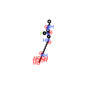 O=C(CCCCCCCCCCC(=O)NC[C@@H](O)[C@H](O)[C@@H](O)[C@@H](O)CO)NCc1ccc(N2C(=O)C3(CCN(C(=O)NCCC4CCCCC4)CC3)C2c2ccc(F)cc2)cc1